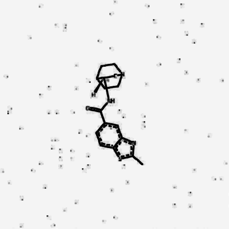 Cc1nc2cc(C(=O)N[C@H]3CN4CCC3CC4)ccc2s1